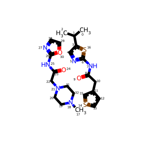 CC(C)c1cnc(NC(=O)Cc2ccsc2)s1.CN1CCN(CC(=O)Nc2ncco2)CC1